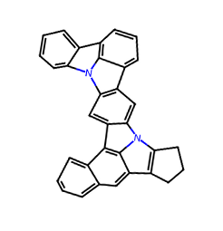 c1ccc2c(c1)cc1c3c(n4c5cc6c7cccc8c9ccccc9n(c6cc5c2c14)c87)CCC3